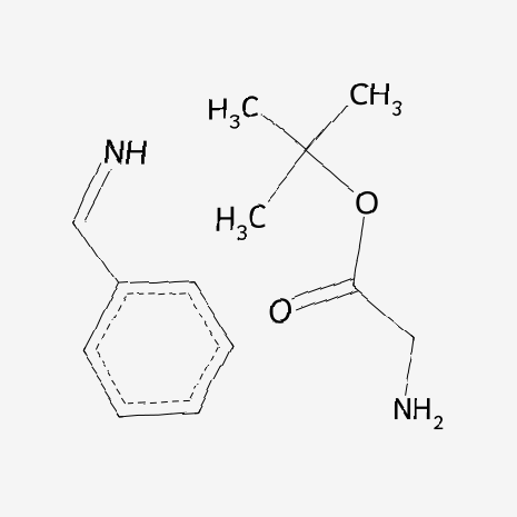 CC(C)(C)OC(=O)CN.N=Cc1ccccc1